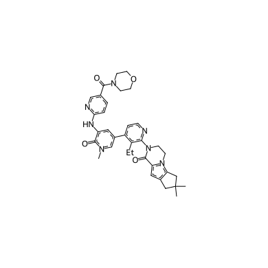 CCc1c(-c2cc(Nc3ccc(C(=O)N4CCOCC4)cn3)c(=O)n(C)c2)ccnc1N1CCn2c(cc3c2CC(C)(C)C3)C1=O